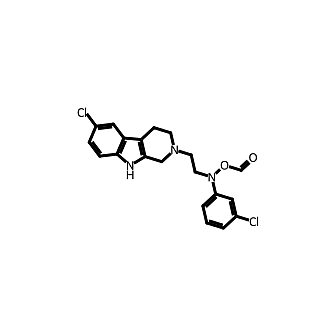 O=CON(CCN1CCc2c([nH]c3ccc(Cl)cc23)C1)c1cccc(Cl)c1